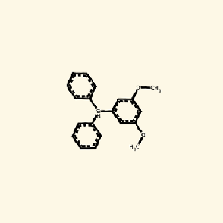 COc1cc(OC)cc([SiH](c2ccccc2)c2ccccc2)c1